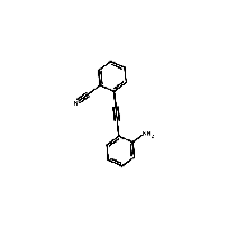 N#Cc1ccccc1C#Cc1ccccc1N